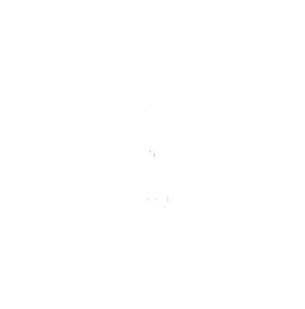 O=C(O)C1CC=CC(=O)N1C(=O)O